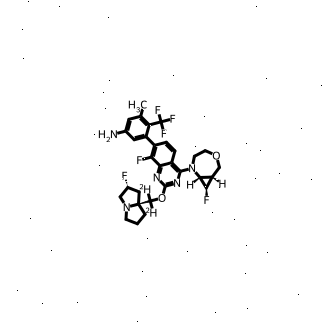 [2H]C([2H])(Oc1nc(N2CCOC[C@@H]3[C@@H](F)[C@@H]32)c2ccc(-c3cc(N)cc(C)c3C(F)(F)F)c(F)c2n1)[C@@]12CCCN1C[C@H](F)C2